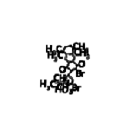 CC(C)(C)c1cc(C2=C(Br)C(=O)c3cc4c(cc3C2=O)C(C)(C)CCC4(C)C)cc(Br)c1O